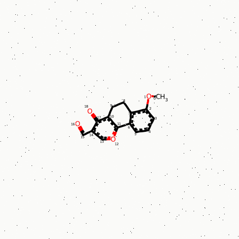 COc1cccc2c1CCc1c-2occ(C=O)c1=O